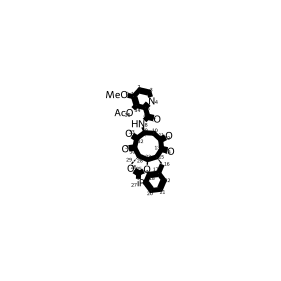 COc1ccnc(C(=O)N[C@H]2CC(=O)C(=O)[C@H](Cc3ccccc3)[C@H](OC(=O)C(C)C)[C@H](C)C(=O)C2=O)c1OC(C)=O